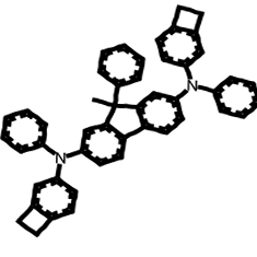 CC1(c2ccccc2)c2cc(N(c3ccccc3)c3ccc4c(c3)CC4)ccc2-c2ccc(N(c3ccccc3)c3ccc4c(c3)CC4)cc21